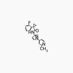 Cc1cc(-n2ccc(NC(=O)C3(c4ccccc4F)CC3)n2)ccn1